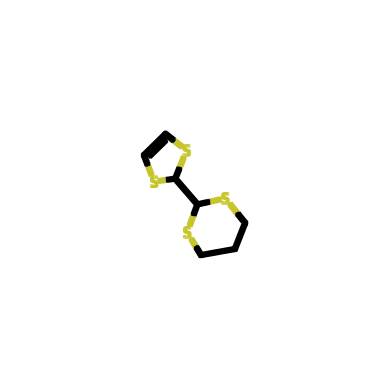 C1=CSC(C2SCCCS2)S1